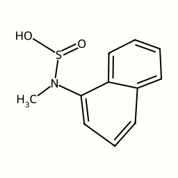 CN(c1cccc2ccccc12)S(=O)O